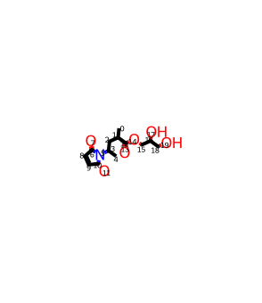 CC(CC(C)N1C(=O)C=CC1=O)C(=O)OCC(O)CO